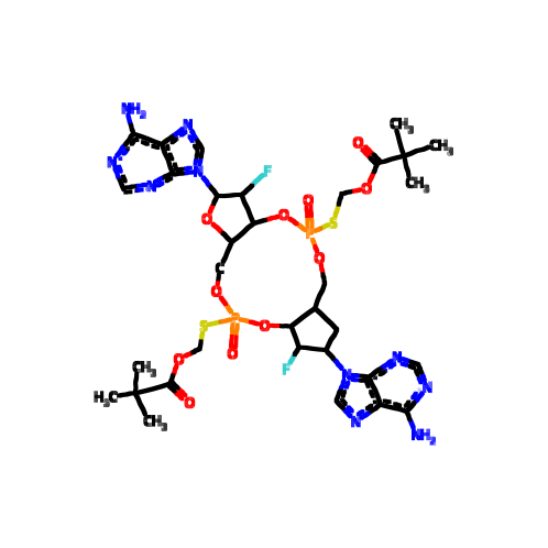 CC(C)(C)C(=O)OCSP1(=O)OCC2OC(n3cnc4c(N)ncnc43)C(F)C2OP(=O)(SCOC(=O)C(C)(C)C)OCC2CC(n3cnc4c(N)ncnc43)C(F)C2O1